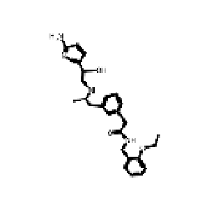 CCOc1ccccc1CNC(=O)Cc1cccc(C[C@@H](C)NCC(O)c2ccc(N)nc2)c1